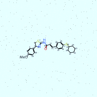 COc1ccc(C2CSC(NC(=O)/C=C/c3ccc(SC4CCCCC4)cc3)=N2)cc1